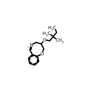 CCC(C)(C)COC1C/N=C\c2ccccc2OC1